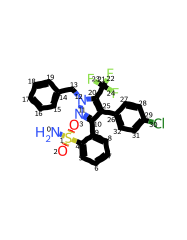 NS(=O)(=O)c1ccccc1-c1nn(Cc2ccccc2)c(C(F)(F)F)c1-c1ccc(Cl)cc1